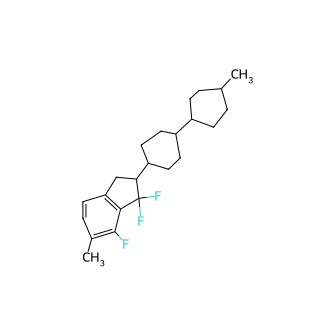 Cc1ccc2c(c1F)C(F)(F)C(C1CCC(C3CCC(C)CC3)CC1)C2